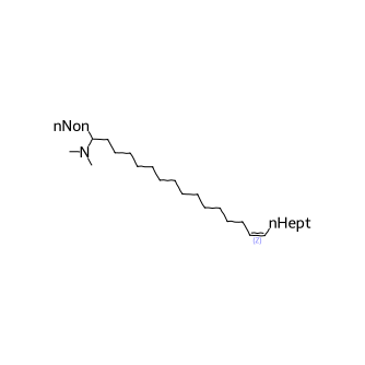 CCCCCCC/C=C\CCCCCCCCCCCCCC(CCCCCCCCC)N(C)C